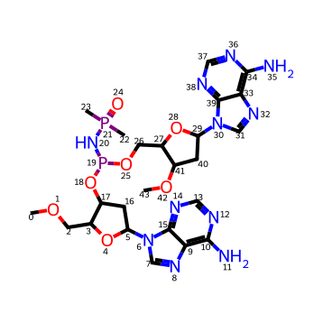 COCC1OC(n2cnc3c(N)ncnc32)CC1OP(NP(C)(C)=O)OCC1OC(n2cnc3c(N)ncnc32)CC1OC